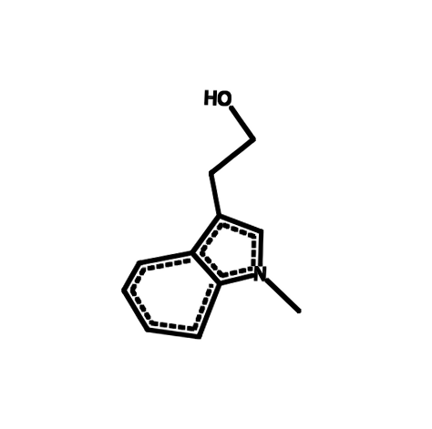 Cn1cc(CCO)c2ccccc21